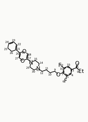 CCC(=O)c1cc(F)c(OCCCCN2CCN(C3=COC(C4=CC=CCC4)=CO3)CC2)c(F)c1